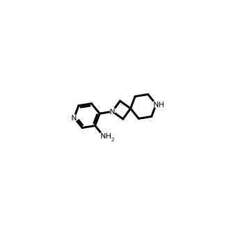 Nc1cnccc1N1CC2(CCNCC2)C1